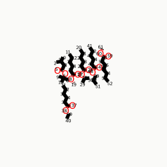 CC(C)CC(=O)OC(C)(C)C.CCCCCC(=O)OC.CCCCCC(=O)OC(C)C.CCCCCC(=O)OCC.CCCCCC(=O)OCCC.CCCCCCC(=O)OC